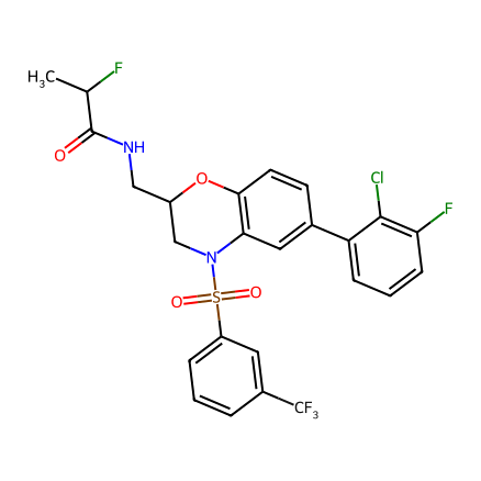 CC(F)C(=O)NCC1CN(S(=O)(=O)c2cccc(C(F)(F)F)c2)c2cc(-c3cccc(F)c3Cl)ccc2O1